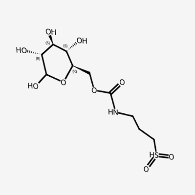 O=C(NCCC[SH](=O)=O)OC[C@H]1OC(O)[C@H](O)[C@@H](O)[C@@H]1O